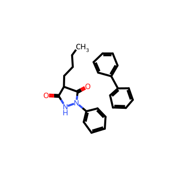 CCCCC1C(=O)NN(c2ccccc2)C1=O.c1ccc(-c2ccccc2)cc1